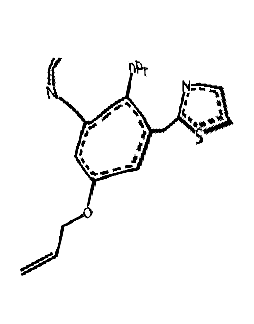 C=CCOc1cc(N=C)c(CCC)c(-c2nccs2)c1